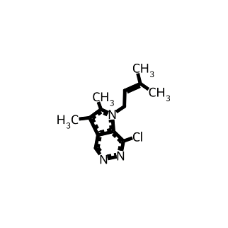 CC(C)=CCn1c(C)c(C)c2cnnc(Cl)c21